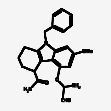 COc1cc(OC(N)C=O)c2c3c(n(Cc4ccccc4)c2c1)CCCC3C(N)=O